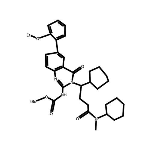 CCOc1ccccc1-c1ccc2nc(NC(=O)OC(C)(C)C)n(C(CCC(=O)N(C)C3CCCCC3)C3CCCCC3)c(=O)c2c1